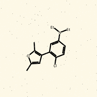 CCN(CC)c1ccc(Cl)c(-c2[c]c(C)oc2C)c1